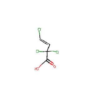 O=C(O)C(Cl)(Cl)C=CCl